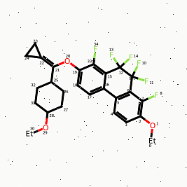 CCOc1ccc2c(c1F)C(F)(F)C(F)(F)c1c-2ccc(OC(=C2CC2)C2CCC(OCC)CC2)c1F